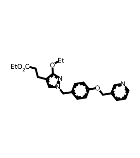 CCOC(=O)CCc1cn(Cc2ccc(OCc3cccnc3)cc2)nc1OCC